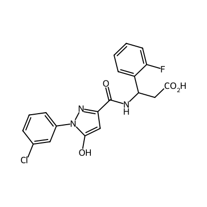 O=C(O)CC(NC(=O)c1cc(O)n(-c2cccc(Cl)c2)n1)c1ccccc1F